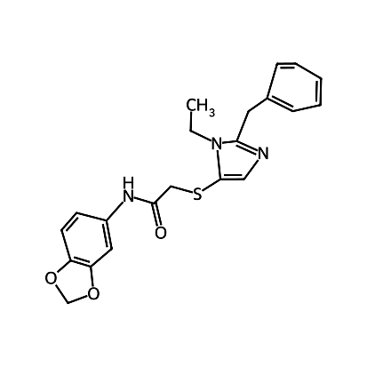 CCn1c(SCC(=O)Nc2ccc3c(c2)OCO3)cnc1Cc1ccccc1